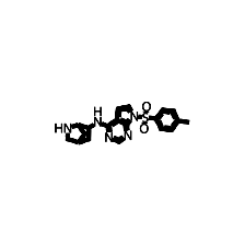 Cc1ccc(S(=O)(=O)n2ccc3c(NC4CC5CNC4C5)ncnc32)cc1